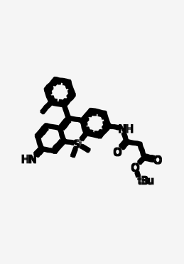 Cc1ccccc1C1=C2C=CC(=N)C=C2[Si](C)(C)c2cc(NC(=O)CC(=O)OC(C)(C)C)ccc21